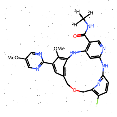 [2H]C([2H])([2H])NC(=O)c1cnc2cc1Nc1cc(cc(-c3ncc(OC)cn3)c1OC)COCc1nc(ccc1F)N2